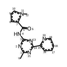 Cc1nc(NC(=O)c2cccn2C)nc(-c2ccccn2)n1